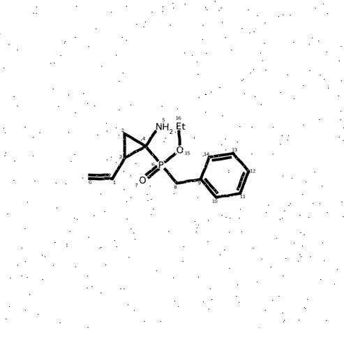 C=CC1CC1(N)P(=O)(Cc1ccccc1)OCC